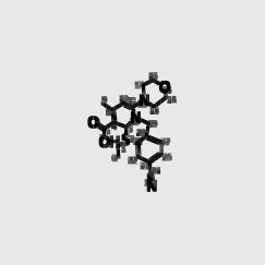 CCSC1C(C(=O)O)=C(C)C=C(N2CCOCC2)N1Cc1ccc(C#N)cc1